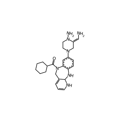 N/C=C1/CN(c2ccc3c(c2)N(C(=O)C2CCCCC2)CC2=CC=CNC2N3)CCN1N